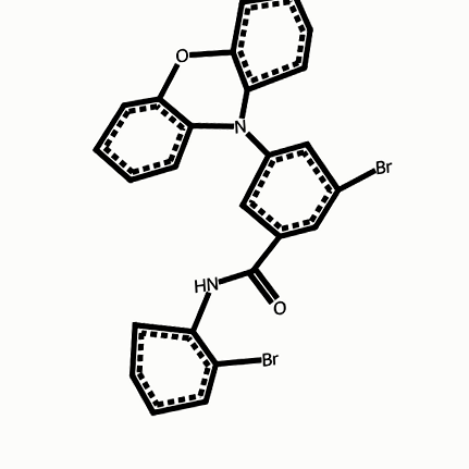 O=C(Nc1ccccc1Br)c1cc(Br)cc(N2c3ccccc3Oc3ccccc32)c1